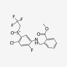 COC(=O)c1ccccc1CNc1cc([S+]([O-])CC(F)(F)F)c(Cl)cc1F